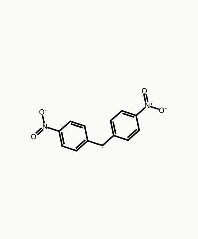 O=[N+]([O-])c1ccc([CH]c2ccc([N+](=O)[O-])cc2)cc1